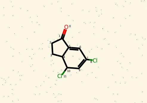 O=C1CCC2C1=CC(Cl)=CC2Cl